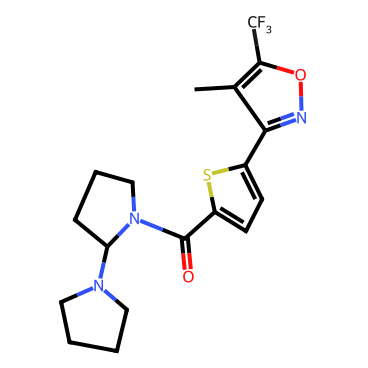 Cc1c(-c2ccc(C(=O)N3CCCC3N3CCCC3)s2)noc1C(F)(F)F